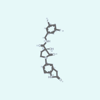 O=C1Cc2cc(N3CC[C@](O)(C(=O)NCc4cc(F)cc(F)c4)C3=O)ccc2N1